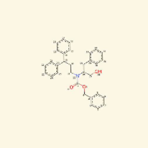 O=C(OCc1ccccc1)N(CCC(c1ccccc1)c1ccccc1)C(CO)Cc1ccccc1